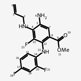 C=CCNc1c(N)cc(C(=O)OC)c(Nc2ccc(I)cc2F)c1F